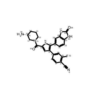 N#Cc1ccc(-c2cc(C(=O)N3CCC[C@@H](N)C3)sc2-c2ccc3[nH]c(=O)oc3c2)cc1F